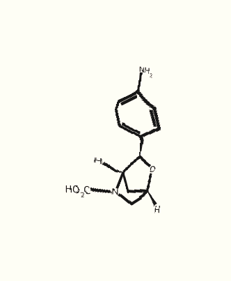 Nc1ccc([C@H]2O[C@H]3C[C@@H]2N(C(=O)O)C3)cc1